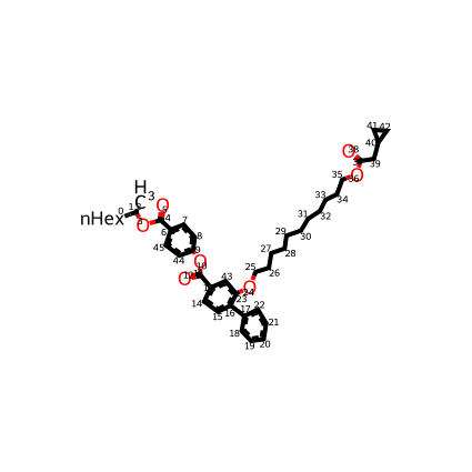 CCCCCCC(C)OC(=O)c1ccc(OC(=O)c2ccc(-c3ccccc3)c(OCCCCCCCCCCCOC(=O)CC3CC3)c2)cc1